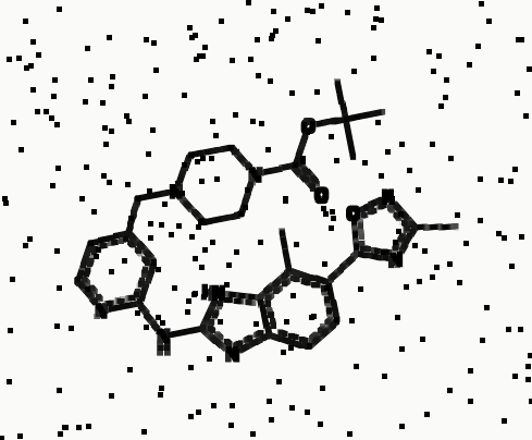 Cc1noc(-c2ccc3nc(Nc4cc(CN5CCN(C(=O)OC(C)(C)C)CC5)ccn4)[nH]c3c2C)n1